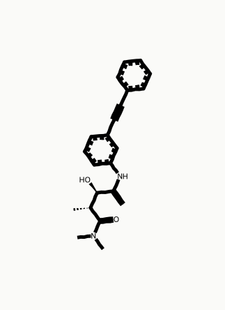 C=C(Nc1cccc(C#Cc2ccccc2)c1)[C@H](O)[C@@H](C)C(=O)N(C)C